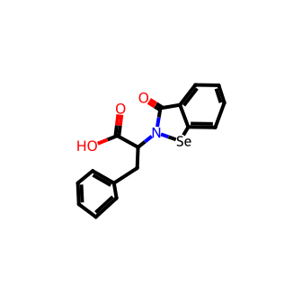 O=C(O)C(Cc1ccccc1)n1[se]c2ccccc2c1=O